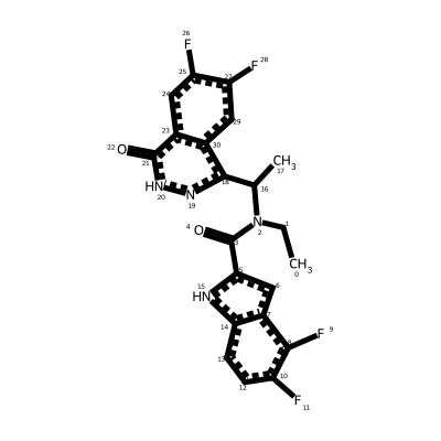 CCN(C(=O)c1cc2c(F)c(F)ccc2[nH]1)C(C)c1n[nH]c(=O)c2cc(F)c(F)cc12